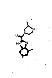 Cc1cccc2[nH]c(C(=O)N3CCNC(C)C3)nc12